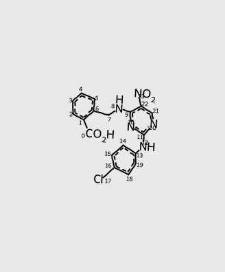 O=C(O)c1ccccc1CNc1nc(Nc2ccc(Cl)cc2)ncc1[N+](=O)[O-]